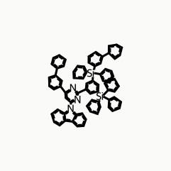 c1ccc(-c2cccc(-c3cc(-n4c5ccccc5c5ccccc54)nc(-c4cc([Si](c5ccccc5)(c5ccccc5)c5ccccc5)cc([Si](c5ccccc5)(c5ccccc5)c5cccc(-c6ccccc6)c5)c4)n3)c2)cc1